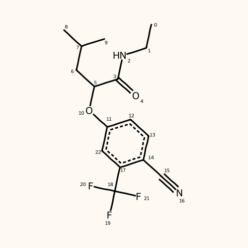 CCNC(=O)C(CC(C)C)Oc1ccc(C#N)c(C(F)(F)F)c1